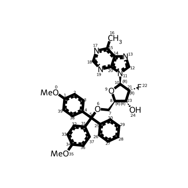 COc1ccc(C(OC[C@H]2O[C@@H](n3cnc4c(C)ncnc43)[C@H](F)[C@@H]2O)(c2ccccc2)c2ccc(OC)cc2)cc1